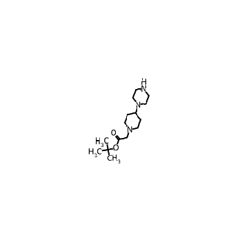 CC(C)(C)OC(=O)CN1CCC(N2CCNCC2)CC1